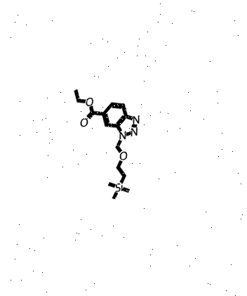 CCOC(=O)c1ccc2nnn(COCC[Si](C)(C)C)c2c1